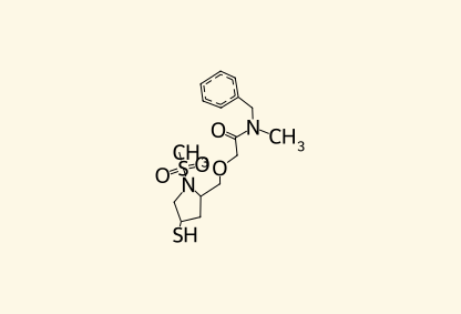 CN(Cc1ccccc1)C(=O)COCC1CC(S)CN1S(C)(=O)=O